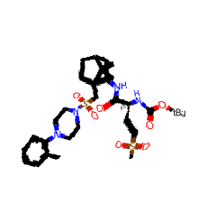 Cc1ccccc1N1CCN(S(=O)(=O)CC23CCC(CC2NC(=O)[C@H](CCS(C)(=O)=O)NC(=O)OC(C)(C)C)C3(C)C)CC1